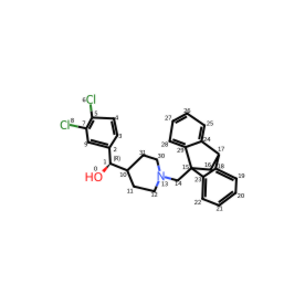 O[C@@H](c1ccc(Cl)c(Cl)c1)C1CCN(CC23CC(c4ccccc42)c2ccccc23)CC1